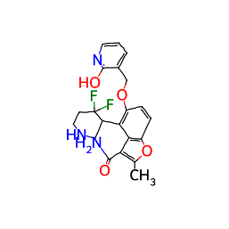 Cc1oc2ccc(OCc3cccnc3O)c(C3CNCCC3(F)F)c2c1C(N)=O